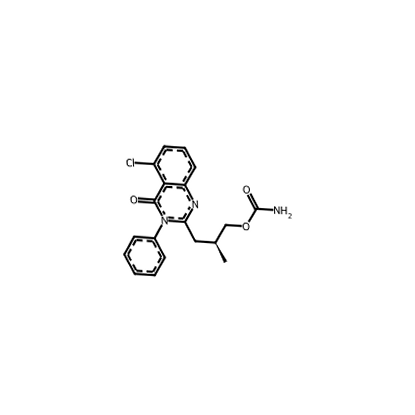 C[C@H](COC(N)=O)Cc1nc2cccc(Cl)c2c(=O)n1-c1ccccc1